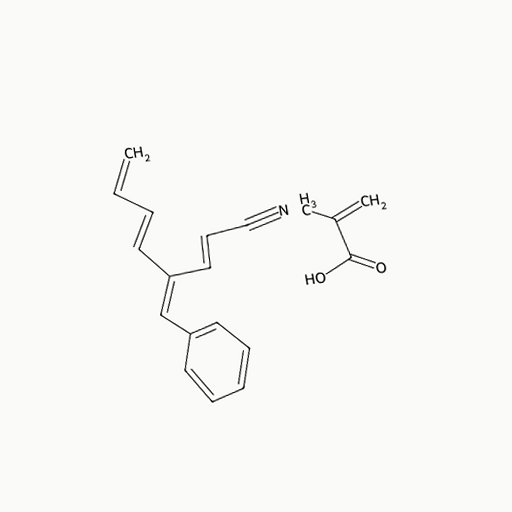 C=C(C)C(=O)O.C=CC=CC(C=CC#N)=Cc1ccccc1